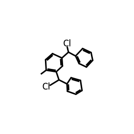 Cc1ccc(C(Cl)c2ccccc2)cc1C(Cl)c1ccccc1